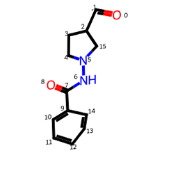 O=[C]C1CCN(NC(=O)c2ccccc2)C1